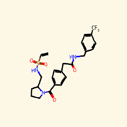 C=CS(=O)(=O)NCC1CCCN1C(=O)c1ccc(CC(=O)NCc2ccc(C(F)(F)F)cc2)cc1